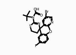 CC(C)(C)N(C(=O)O)C1=NC2(CCS1)c1cc(I)ccc1Oc1ncc(Br)cc12